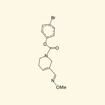 CON=CC1=CCCN(C(=O)Oc2ccc(Br)cc2)C1